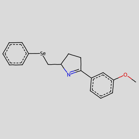 COc1cccc(C2=NC(C[Se]c3ccccc3)CC2)c1